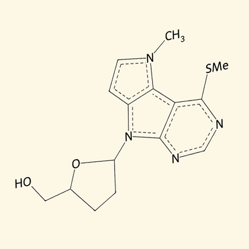 CSc1ncnc2c1c1c(ccn1C)n2C1CCC(CO)O1